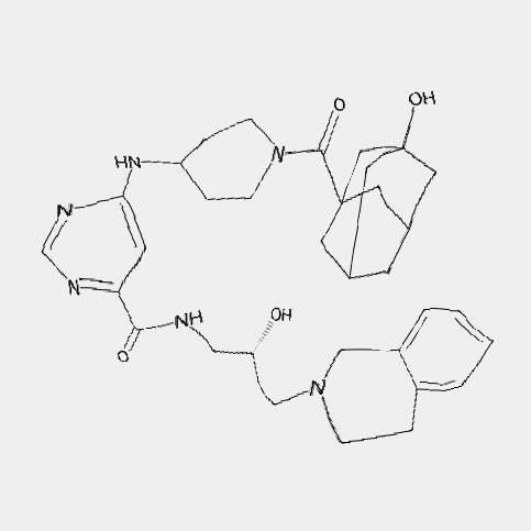 O=C(NC[C@H](O)CN1CCc2ccccc2C1)c1cc(NC2CCN(C(=O)C34CC5CC(CC(O)(C5)C3)C4)CC2)ncn1